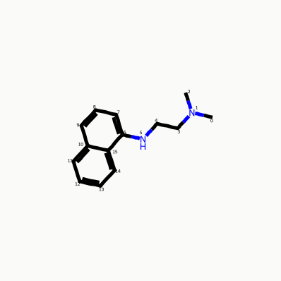 CN(C)CCNc1cccc2ccccc12